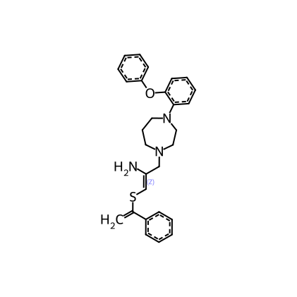 C=C(S/C=C(\N)CN1CCCN(c2ccccc2Oc2ccccc2)CC1)c1ccccc1